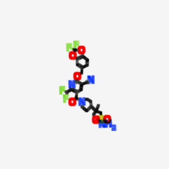 CC(C)(CS(N)(=O)=O)C1CCN(C(=O)c2cc(C#N)c(OCc3ccc4c(c3)OC(F)(F)O4)nc2C(F)F)CC1